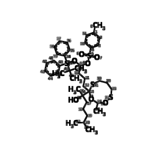 Cc1ccc(S(=O)(=O)OC(CCCC2(C(C)(O)CCCC(C)C)OC(C)OSCCCS2)O[Si](c2ccccc2)(c2ccccc2)C(C)(C)C)cc1